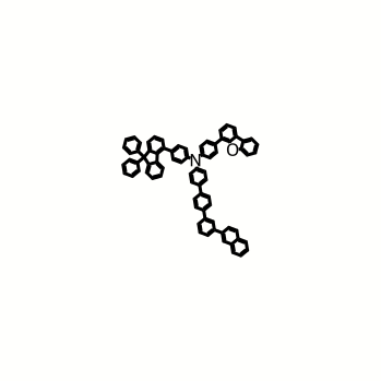 c1ccc(C2(c3ccccc3)c3ccccc3-c3c(-c4ccc(N(c5ccc(-c6ccc(-c7cccc(-c8ccc9ccccc9c8)c7)cc6)cc5)c5ccc(-c6cccc7c6oc6ccccc67)cc5)cc4)cccc32)cc1